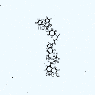 CN(CCCn1ccc2cc(CNC[C@H](O[Si](C)(C)C(C)(C)C)c3ccc(O)c4[nH]c(=O)ccc34)ccc21)[C@H]1CC[C@H](OC(=O)C(O)(c2cccs2)c2cccs2)CC1